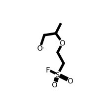 CC(C[O])OCCS(=O)(=O)F